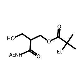 CCC(C)(C)C(=O)OCC(CO)C(=O)NC(C)=O